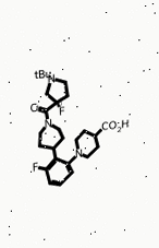 CC(C)(C)N1CC[C@](F)(C(=O)N2CCC(c3c(F)cccc3N3CCC(C(=O)O)CC3)CC2)C1